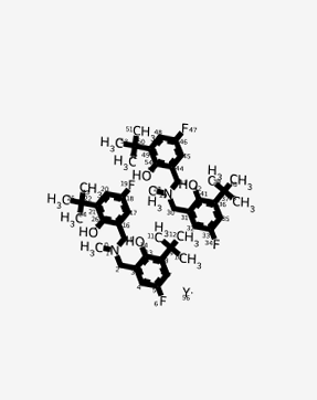 CN(Cc1cc(F)cc(C(C)(C)C)c1O)Cc1cc(F)cc(C(C)(C)C)c1O.CN(Cc1cc(F)cc(C(C)(C)C)c1O)Cc1cc(F)cc(C(C)(C)C)c1O.[Y]